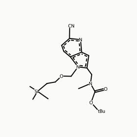 CN(Cc1cc2nc(C#N)ccc2n1COCC[Si](C)(C)C)C(=O)OC(C)(C)C